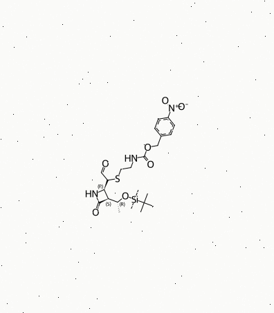 C[C@@H](O[Si](C)(C)C(C)(C)C)[C@H]1C(=O)N[C@H]1C(C=O)SCCNC(=O)OCc1ccc([N+](=O)[O-])cc1